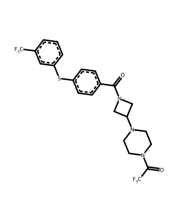 O=C(c1ccc(Sc2cccc(C(F)(F)F)c2)cc1)N1CC(N2CCN(C(=O)C(F)(F)F)CC2)C1